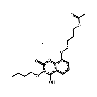 CCCCOc1c(O)c2cccc(OCCCCOC(C)=O)c2oc1=O